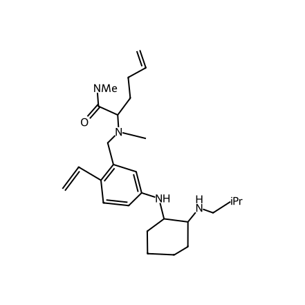 C=CCCC(C(=O)NC)N(C)Cc1cc(NC2CCCCC2NCC(C)C)ccc1C=C